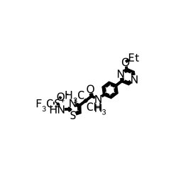 CCOc1cncc(-c2ccc(NC(=O)C(C)(C)c3csc(N[S+]([O-])C(F)(F)F)n3)cc2)n1